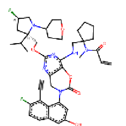 C#Cc1c(F)ccc2cc(O)cc(N3Cc4nc(OC[C@]5(C(C)C)C[C@@H](F)CN5C5CCOCC5)nc(NCC5(N(C)C(=O)C=C)CCCC5)c4OC3=O)c12